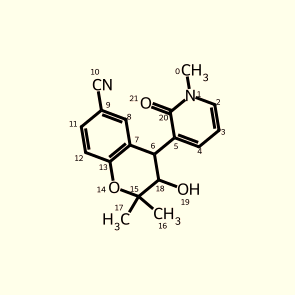 Cn1cccc(C2c3cc(C#N)ccc3OC(C)(C)C2O)c1=O